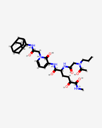 CCCN(CC(=O)NC(CCC(=O)C(=O)NC)C(=O)Nc1cccn(CC(=O)NC2C3CC4CC(C3)CC2C4)c1=O)C(C)=O